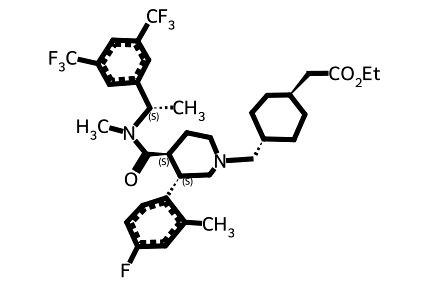 CCOC(=O)C[C@H]1CC[C@H](CN2CC[C@H](C(=O)N(C)[C@@H](C)c3cc(C(F)(F)F)cc(C(F)(F)F)c3)[C@@H](c3ccc(F)cc3C)C2)CC1